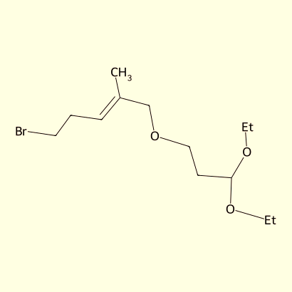 CCOC(CCOCC(C)=CCCBr)OCC